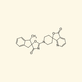 CC1c2ccccc2CC12OC(N1CCC3(CC1)OC(=O)c1cccnc13)=NC2=O